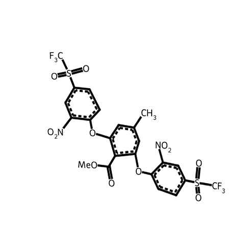 COC(=O)c1c(Oc2ccc(S(=O)(=O)C(F)(F)F)cc2[N+](=O)[O-])cc(C)cc1Oc1ccc(S(=O)(=O)C(F)(F)F)cc1[N+](=O)[O-]